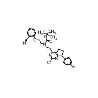 CC(C)(C)OC(=O)N(CCOc1ccccc1C#N)CCc1nc(Cl)nc2c1CCC2c1ccc(F)cc1